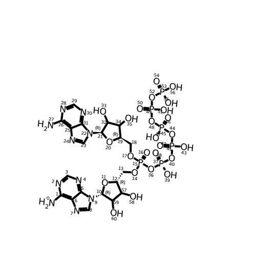 Nc1ncnc2c1ncn2[C@@H]1O[C@H](COP(=O)(OC[C@H]2O[C@@H](n3cnc4c(N)ncnc43)C(O)C2O)OP(=O)(O)OP(=O)(O)OP(=O)(O)OP(=O)(O)OP(=O)(O)O)C(O)C1O